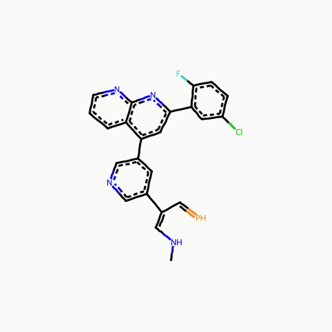 CN/C=C(\C=P)c1cncc(-c2cc(-c3cc(Cl)ccc3F)nc3ncccc23)c1